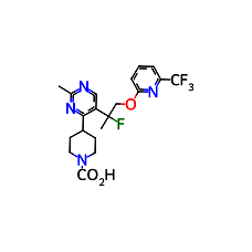 Cc1ncc(C(C)(F)COc2cccc(C(F)(F)F)n2)c(C2CCN(C(=O)O)CC2)n1